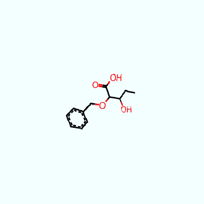 CCC(O)C(OCc1ccccc1)C(=O)O